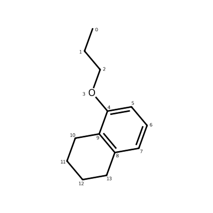 CCCOc1cccc2c1CCCC2